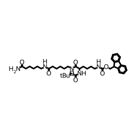 CC(C)(C)OC(=O)NC(CCCCNC(=O)OCC1c2ccccc2-c2ccccc21)C(=O)NCCCCCC(=O)NCCCCCC(N)=O